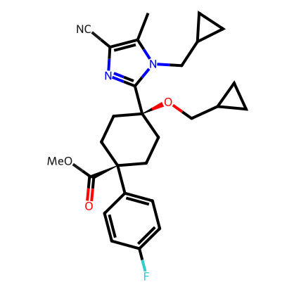 COC(=O)[C@]1(c2ccc(F)cc2)CC[C@@](OCC2CC2)(c2nc(C#N)c(C)n2CC2CC2)CC1